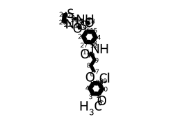 COc1ccc(OCCCC(=O)Nc2ccc(S(=O)(=O)Nc3nccs3)cc2)c(Cl)c1